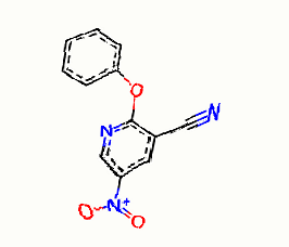 N#Cc1cc([N+](=O)[O-])cnc1Oc1ccccc1